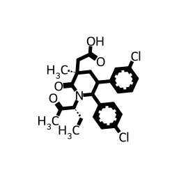 CC[C@H](C(C)=O)N1C(=O)[C@@](C)(CC(=O)O)CC(c2cccc(Cl)c2)C1c1ccc(Cl)cc1